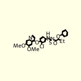 CCC(Oc1ccccc1)C(=O)NC(=S)Nc1ccc(Oc2ccnc3cc(OC)c(OC)cc23)c(Cl)c1